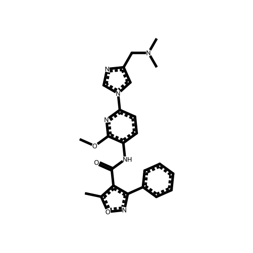 COc1nc(-n2cnc(CN(C)C)c2)ccc1NC(=O)c1c(-c2ccccc2)noc1C